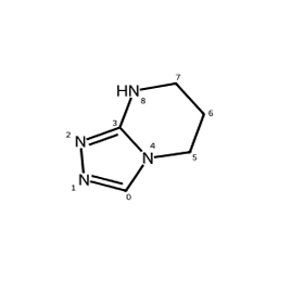 c1nnc2n1CCCN2